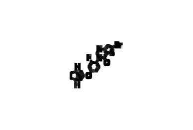 CN1[C@@H]2CC[C@H]1C[C@H](Oc1ccc(-n3cnc4cc(Br)sc4c3=O)c(F)c1)C2